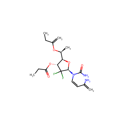 C=C(N)/C=C\N(C(N)=O)[C@@H]1O[C@H]([C@H](C)OC(=C)CC)[C@@H](OC(=O)CC)C1(F)F